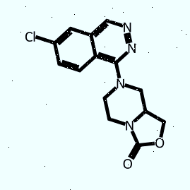 O=C1OCC2CN(c3nncc4cc(Cl)ccc34)CCN12